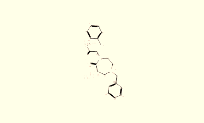 CNC(=O)[C@H](Cc1ccccc1)N1CCN(Cc2ccccc2)C[C@H](N)C1=O